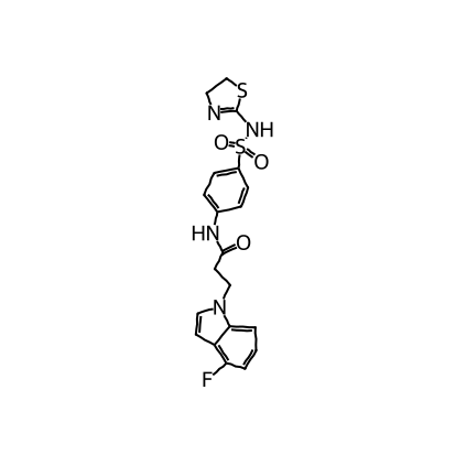 O=C(CCn1ccc2c(F)cccc21)Nc1ccc(S(=O)(=O)NC2=NCCS2)cc1